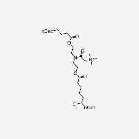 CCCCCCCCCCCCCC(=O)OCCN(CCOC(=O)CCCCC(Cl)CCCCCCCC)C(=O)C[N+](C)(C)C